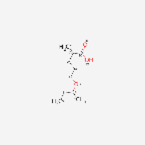 C=C(CCCOC(C)CC)C(=O)O